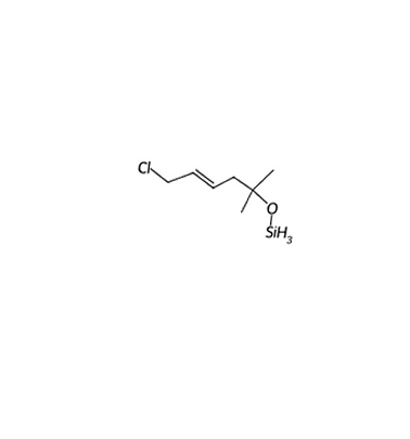 CC(C)(CC=CCCl)O[SiH3]